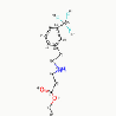 CCOC(=O)CCNCCc1cccc(C(F)(F)F)c1